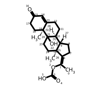 CC(OC(=O)O)=C1CC[C@H]2[C@@H]3CCC4=CC(=O)CC[C@]4(C)C3(O)CC[C@]12C